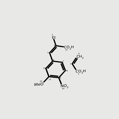 C=CC(=O)O.CCC(=Cc1ccc([N+](=O)[O-])c(OC)c1)C(=O)O